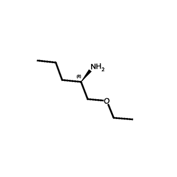 CCC[C@@H](N)COCC